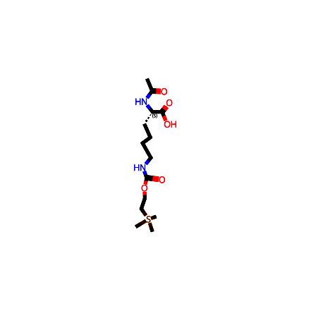 CC(=O)N[C@@H](CCCCNC(=O)OCCS(C)(C)C)C(=O)O